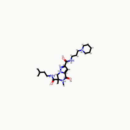 CC(C)CCNC(=O)C1(C)Cn2nc(C(=O)NCCCN3CCCCC3)cc2C(=O)N1C